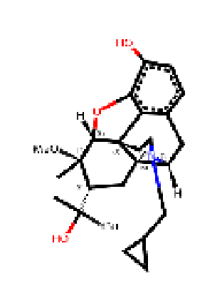 CO[C@]1(C)[C@@H](C(C)(O)C(C)(C)C)C[C@]2(C)[C@H]3Cc4ccc(O)c5c4[C@@]2(CCN3CC2CC2)[C@H]1O5